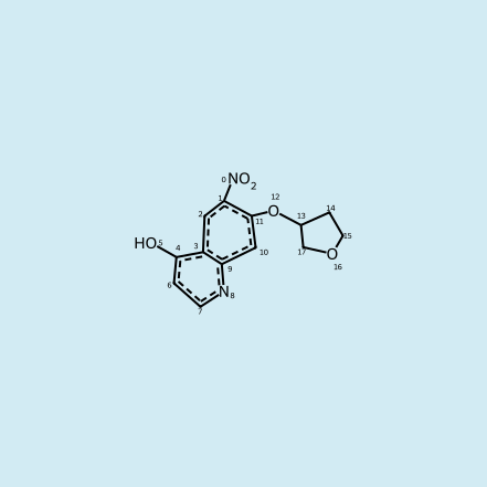 O=[N+]([O-])c1cc2c(O)ccnc2cc1OC1CCOC1